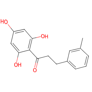 Cc1cccc(CCC(=O)c2c(O)cc(O)cc2O)c1